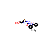 Cc1ccc(NC(=O)Nc2nc(CCO)cs2)c(C(=O)C2CCCC2)c1